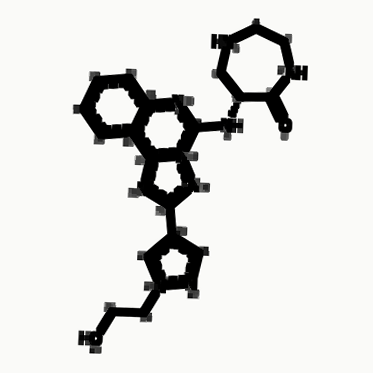 O=C1NCCNC[C@H]1Nc1nc2ccccc2c2nc(-c3cnn(CCO)c3)nn12